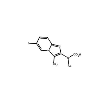 CC(=O)N(C(=O)O)c1nc2ccc(I)cn2c1C(C)(C)C